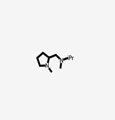 CC(C)N(C)CC1CCCN1C